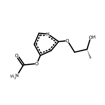 C[C@@H](O)COc1cc(OC(N)=O)ccn1